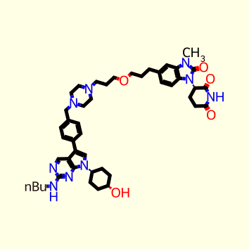 CCCCNc1ncc2c(-c3ccc(CN4CCN(CCCOCCCc5ccc6c(c5)n(C)c(=O)n6[C@H]5CCC(=O)NC5=O)CC4)cc3)cn([C@H]3CC[C@H](O)CC3)c2n1